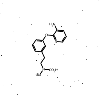 CC(C)(C)N(CCc1cccc(Oc2ncccc2N)c1)C(=O)O